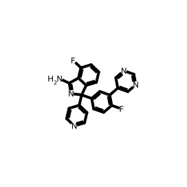 NC1=NC(c2ccncc2)(c2ccc(F)c(-c3cncnc3)c2)c2cccc(F)c21